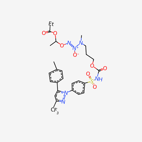 CCC(=O)OC(C)ON=[N+]([O-])N(C)CCCOC(=O)NS(=O)(=O)c1ccc(-n2nc(C(F)(F)F)cc2-c2ccc(C)cc2)cc1